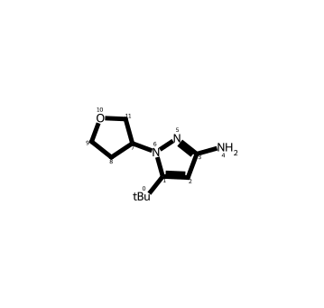 CC(C)(C)c1cc(N)nn1C1CCOC1